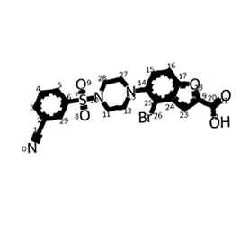 N#Cc1cccc(S(=O)(=O)N2CCN(c3ccc4oc(C(=O)O)cc4c3Br)CC2)c1